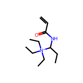 C=CC(=O)NC(CC)[N+](CC)(CC)CC